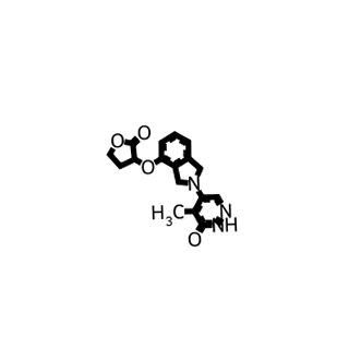 Cc1c(N2Cc3cccc(OC4CCOC4=O)c3C2)cn[nH]c1=O